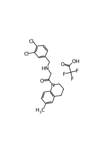 Cc1ccc2c(c1)CCCN2C(=O)CNCc1ccc(Cl)c(Cl)c1.O=C(O)C(F)(F)F